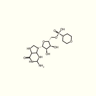 NC1NC(=O)C2NCN([C@@H]3O[C@H](COP(=O)(O)N4CCOCC4)[C@@H](O)[C@H]3O)C2N1